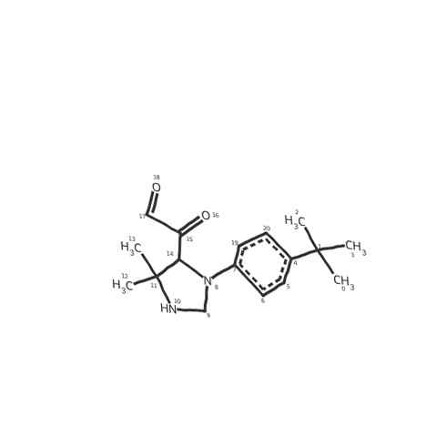 CC(C)(C)c1ccc(N2CNC(C)(C)C2C(=O)C=O)cc1